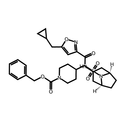 O=C(NC1C[C@H]2CC[C@@H](C1)N2S(=O)(=O)CC1CCN(C(=O)OCc2ccccc2)CC1)c1cc(CC2CC2)on1